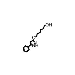 OCCCCCCOc1cc(-c2ccccc2)[nH]n1